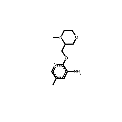 Cc1cnc(OCC2COCCN2C)c(N)c1